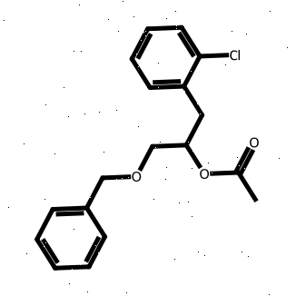 CC(=O)OC(COCc1ccccc1)Cc1ccccc1Cl